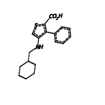 O=C(O)c1scc(NCC2CCCCC2)c1-c1ccccc1